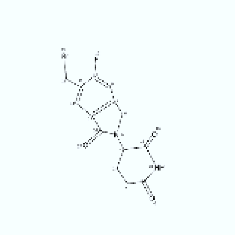 O=C1CCC(N2Cc3cc(F)c(CBr)cc3C2=O)C(=O)N1